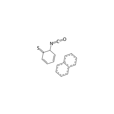 O=C=NC1C=CC=CC1=S.c1ccc2ccccc2c1